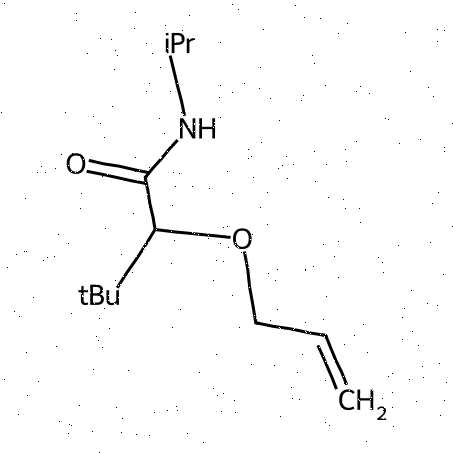 C=CCOC(C(=O)NC(C)C)C(C)(C)C